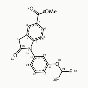 COC(=O)c1cnc2c(c1)CC(=O)N2c1cccc(OC(F)F)c1